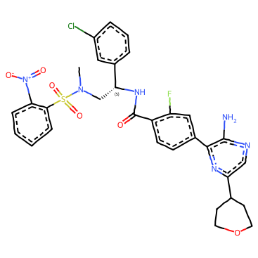 CN(C[C@@H](NC(=O)c1ccc(-c2nc(C3CCOCC3)cnc2N)cc1F)c1cccc(Cl)c1)S(=O)(=O)c1ccccc1[N+](=O)[O-]